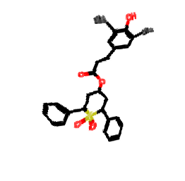 CC(C)(C)c1cc(CCC(=O)OC2CC(c3ccccc3)S(=O)(=O)C(c3ccccc3)C2)cc(C(C)(C)C)c1O